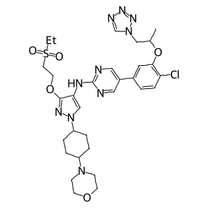 CCS(=O)(=O)CCOc1nn(C2CCC(N3CCOCC3)CC2)cc1Nc1ncc(-c2ccc(Cl)c(OC(C)Cn3cnnn3)c2)cn1